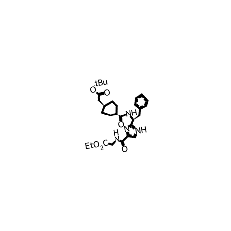 CCOC(=O)CNC(=O)c1c[nH]c([C@H](Cc2ccccc2)NC(=O)[C@H]2CC[C@H](CC(=O)OC(C)(C)C)CC2)n1